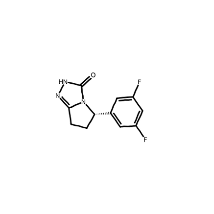 O=c1[nH]nc2n1[C@H](c1cc(F)cc(F)c1)CC2